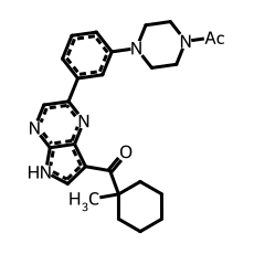 CC(=O)N1CCN(c2cccc(-c3cnc4[nH]cc(C(=O)C5(C)CCCCC5)c4n3)c2)CC1